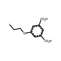 O=C(O)c1cc(OCCI)cc(C(=O)O)c1